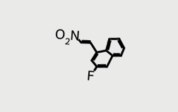 O=[N+]([O-])C=Cc1cc(F)cc2ccccc12